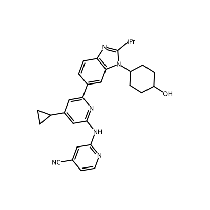 CC(C)c1nc2ccc(-c3cc(C4CC4)cc(Nc4cc(C#N)ccn4)n3)cc2n1C1CCC(O)CC1